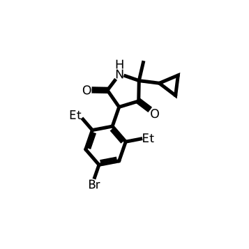 CCc1cc(Br)cc(CC)c1C1C(=O)NC(C)(C2CC2)C1=O